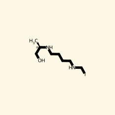 C[C@H](CO)NCCCCNCI